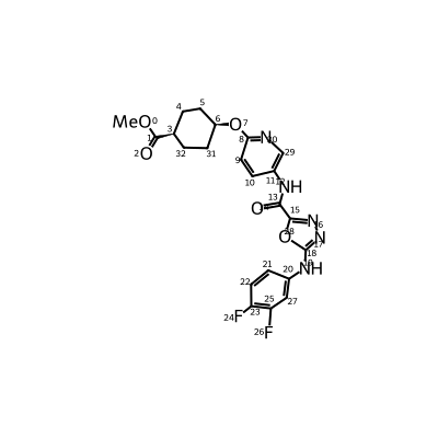 COC(=O)[C@H]1CC[C@@H](Oc2ccc(NC(=O)c3nnc(Nc4ccc(F)c(F)c4)o3)cn2)CC1